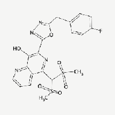 CS(=O)(=O)C(c1nc(-c2nnc(Cc3ccc(F)cc3)o2)c(O)c2ncccc12)S(C)(=O)=O